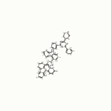 c1ccc(-c2nc(-c3ccccc3)nc(-c3cccc(-n4c5ccccc5c5c(-c6nnc(-c7cccc8c9ccccc9n(-c9ccccc9)c78)o6)cccc54)c3)n2)cc1